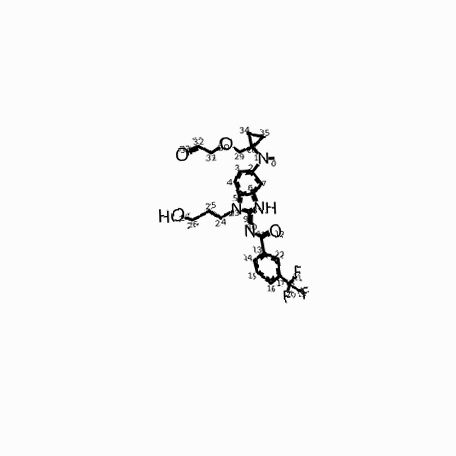 CN(c1ccc2c(c1)[nH]/c(=N\C(=O)c1cccc(C(F)(F)F)c1)n2CCCO)C1(COCC=O)CC1